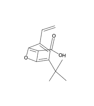 C=Cc1cc(C(C)(C)C)c2c(C(=O)O)c1O2